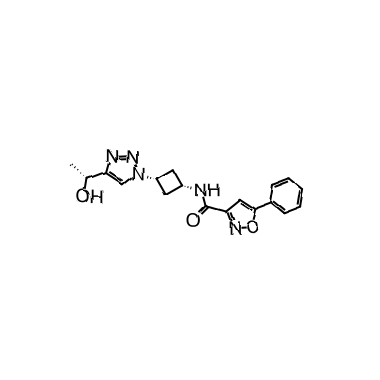 C[C@@H](O)c1cn([C@H]2C[C@@H](NC(=O)c3cc(-c4ccccc4)on3)C2)nn1